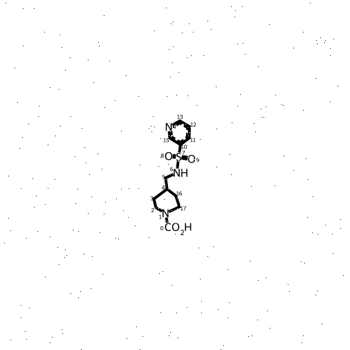 O=C(O)N1CCC(CNS(=O)(=O)c2cccnc2)CC1